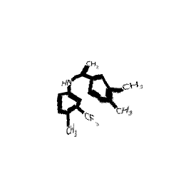 C=C(Nc1ccc(C)c(C(F)(F)F)c1)c1ccc(C)c(C)c1